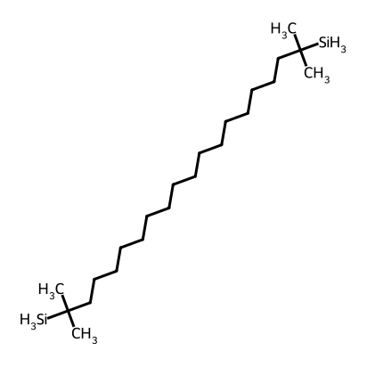 CC(C)([SiH3])CCCCCCCCCCCCCCCCC(C)(C)[SiH3]